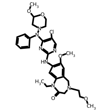 CCN1C(=O)CN(CCOC)Cc2cc(OC)c(Nc3ncc(Cl)c(N(c4ccccc4)N4CCOC(OC)C4)n3)cc21